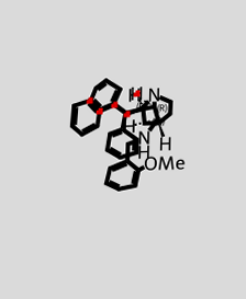 COc1ccccc1CN[C@@H]1[C@@H]2CCN([C@H](CCc3ccccc3)C2)[C@@H]1C(c1ccccc1)c1ccccc1